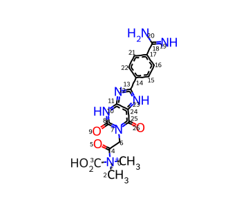 C[N+](C)(C(=O)O)C(=O)Cn1c(=O)[nH]c2nc(-c3ccc(C(=N)N)cc3)[nH]c2c1=O